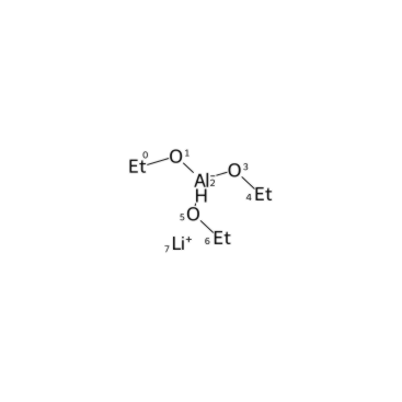 CC[O][AlH-]([O]CC)[O]CC.[Li+]